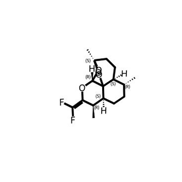 C[C@@H]1CC[C@H]2[C@@H](C)C(=C(F)F)O[C@@H]3O[C@]4(C)CC[C@@H]1C32OO4